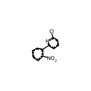 O=[N+]([O-])c1ccccc1-c1cccc(Cl)n1